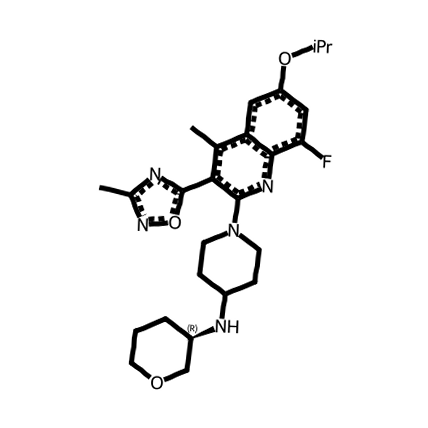 Cc1noc(-c2c(N3CCC(N[C@@H]4CCCOC4)CC3)nc3c(F)cc(OC(C)C)cc3c2C)n1